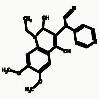 CCN1c2cc(OC)c(OC)cc2C(O)=C(N(C=O)c2ccncc2)C1O